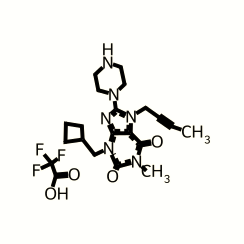 CC#CCn1c(N2CCNCC2)nc2c1c(=O)n(C)c(=O)n2CC1CCC1.O=C(O)C(F)(F)F